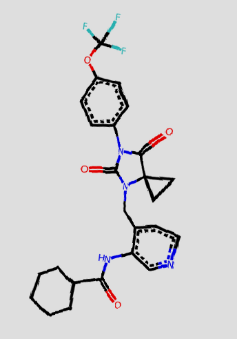 O=C(Nc1cnccc1CN1C(=O)N(c2ccc(OC(F)(F)F)cc2)C(=O)C12CC2)C1CCCCC1